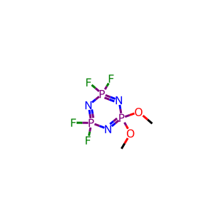 COP1(OC)=NP(F)(F)=NP(F)(F)=N1